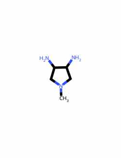 CN1CC(N)C(N)C1